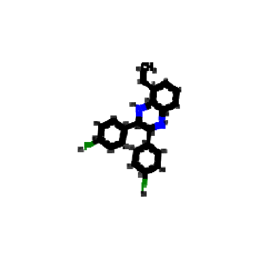 C=Cc1cccc2nc(-c3ccc(F)cc3)c(-c3ccc(F)cc3)nc12